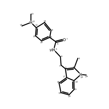 Cc1c(CCNC(=O)c2ccc(N(C)C)cc2)c2ccccc2n1C